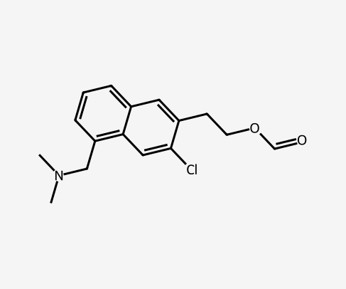 CN(C)Cc1cccc2cc(CCOC=O)c(Cl)cc12